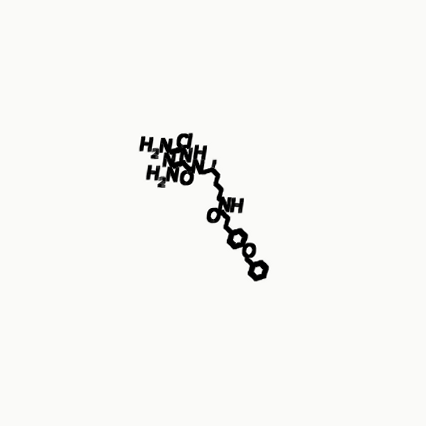 C[C@@H](CCCCNC(=O)CCc1ccc(OCc2ccccc2)cc1)CNC(=O)c1nc(Cl)c(N)nc1N